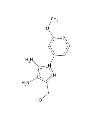 COc1cccc(-n2nc(CO)c(N)c2N)c1